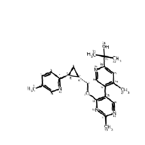 Cc1ccc([C@H]2C[C@@H]2COc2nc(C)ncc2-c2cnc(C(C)(C)O)cc2C)nc1